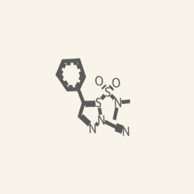 CN(C)S(=O)(=O)S1=C(c2ccccc2)C=NN1C#N